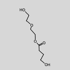 O=C(CCCO)OCCOCCO